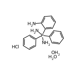 Cl.Nc1ccccc1P(N)(N)(c1ccccc1)c1ccccc1.O.O